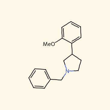 COc1ccccc1C1CCN(Cc2ccccc2)C1